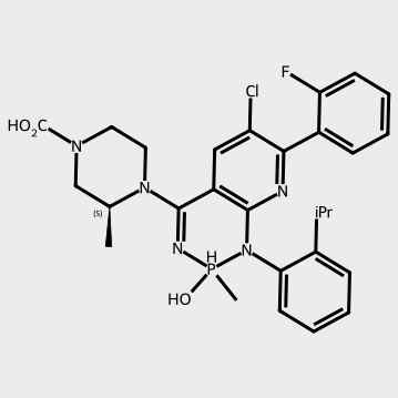 CC(C)c1ccccc1N1c2nc(-c3ccccc3F)c(Cl)cc2C(N2CCN(C(=O)O)C[C@@H]2C)=N[PH]1(C)O